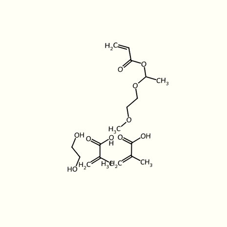 C=C(C)C(=O)O.C=C(C)C(=O)O.C=CC(=O)OC(C)OCCOC.OCCO